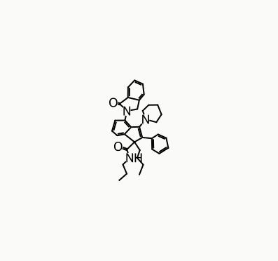 CCCCC1(C(=O)NCCC)C(c2ccccc2)=C(N2CCCCC2)c2c(N3Cc4ccccc4C3=O)cccc21